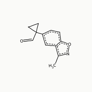 Cc1noc2ccc(C3(C=O)CC3)cc12